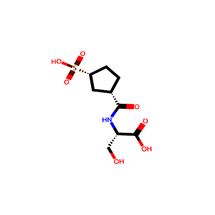 O=C(N[C@@H](CO)C(=O)O)[C@H]1CC[C@@H](S(=O)(=O)O)C1